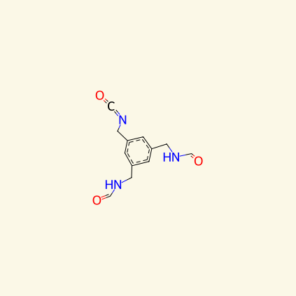 O=C=NCc1cc(CNC=O)cc(CNC=O)c1